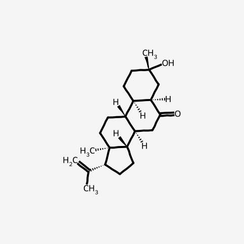 C=C(C)[C@H]1CC[C@H]2[C@@H]3CC(=O)[C@@H]4C[C@@](C)(O)CC[C@@H]4[C@H]3CC[C@]12C